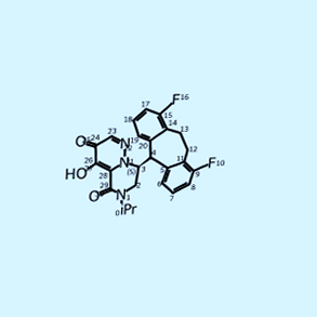 CC(C)N1C[C@H](C2c3cccc(F)c3CCc3c(F)cccc32)n2ncc(=O)c(O)c2C1=O